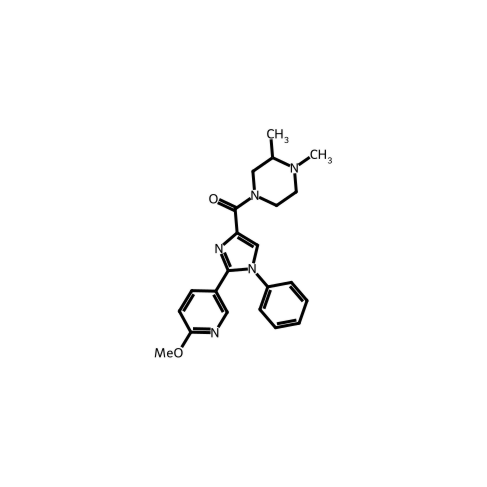 COc1ccc(-c2nc(C(=O)N3CCN(C)C(C)C3)cn2-c2ccccc2)cn1